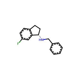 Fc1ccc2c(c1)[C@@H](NCc1ccccc1)CC2